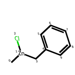 [CH3][Zn]([Cl])[CH2]c1ccccc1